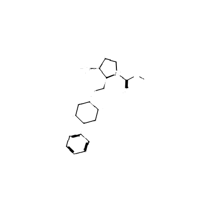 COC(=O)N1CC[C@H](N)[C@@H]1CO[C@H]1CC[C@@H](c2ccccc2)CC1